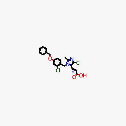 Cc1nc(Cl)c(/C=C/C(=O)O)n1Cc1ccc(OCc2ccccc2)cc1Cl